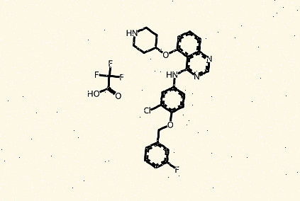 Fc1cccc(COc2ccc(Nc3ncnc4cccc(OC5CCNCC5)c34)cc2Cl)c1.O=C(O)C(F)(F)F